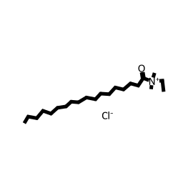 CCCCCCCCCCCCCCCCCC(=O)[N+](C)(C)CC.[Cl-]